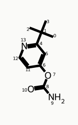 CC(C)(C)c1cc(OC(N)=O)ccn1